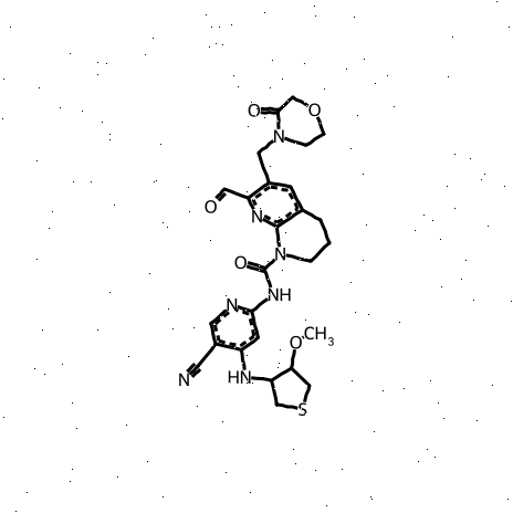 COC1CSCC1Nc1cc(NC(=O)N2CCCc3cc(CN4CCOCC4=O)c(C=O)nc32)ncc1C#N